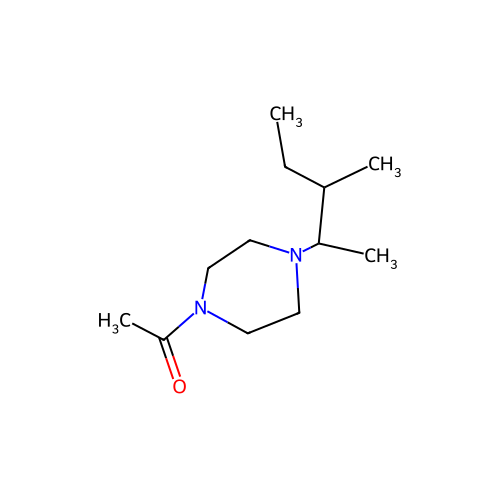 CCC(C)C(C)N1CCN(C(C)=O)CC1